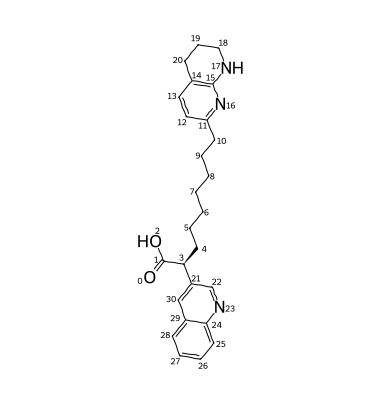 O=C(O)[C@@H](CCCCCCCc1ccc2c(n1)NCCC2)c1cnc2ccccc2c1